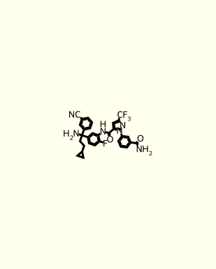 N#Cc1cccc(C(N)(CCC2CC2)c2ccc(F)c(NC(=O)c3cc(C(F)(F)F)nn3-c3cccc(C(N)=O)c3)c2)c1